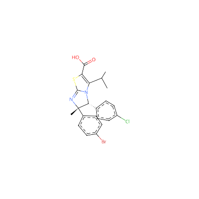 CC(C)C1=C(C(=O)O)SC2=N[C@@](C)(c3ccc(Br)cc3)[C@@H](c3ccc(Cl)cc3)N21